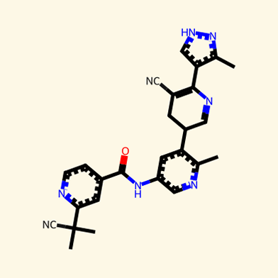 Cc1n[nH]cc1C1=C(C#N)CC(c2cc(NC(=O)c3ccnc(C(C)(C)C#N)c3)cnc2C)C=N1